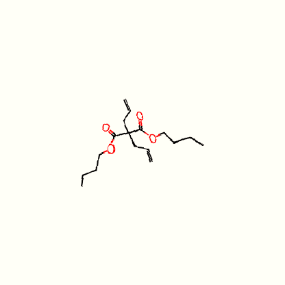 C=CCC(CC=C)(C(=O)OCCCC)C(=O)OCCCC